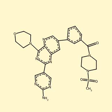 CS(=O)(=O)N1CCN(C(=O)c2cccc(-c3cnc4c(N5CCOCC5)nc(-c5cnc(N)nc5)nc4c3)c2)CC1